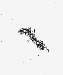 Cc1c(C)n(Cc2cccc(OC(C)C(N)=O)c2)c2ccc(C(=O)N[C@@H](C)c3ccc(C(C)(C)C)cc3)cc12